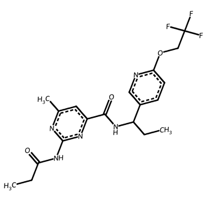 CCC(=O)Nc1nc(C)cc(C(=O)NC(CC)c2ccc(OCC(F)(F)F)nc2)n1